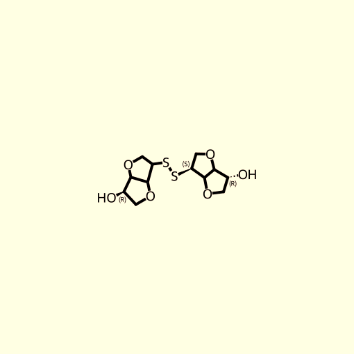 O[C@@H]1COC2C(SS[C@H]3COC4C3OC[C@H]4O)COC21